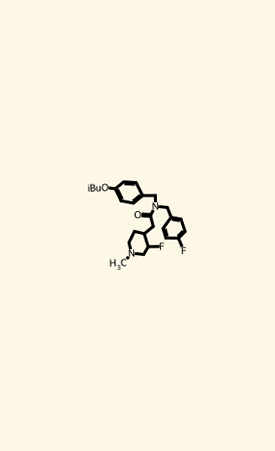 CC(C)COc1ccc(CN(Cc2ccc(F)cc2)C(=O)CC2CCN(C)CC2F)cc1